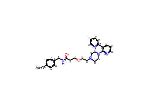 COc1ccc(CNC(=O)CCOCCN2CCN(c3ncccc3-c3ccccn3)CC2)cc1